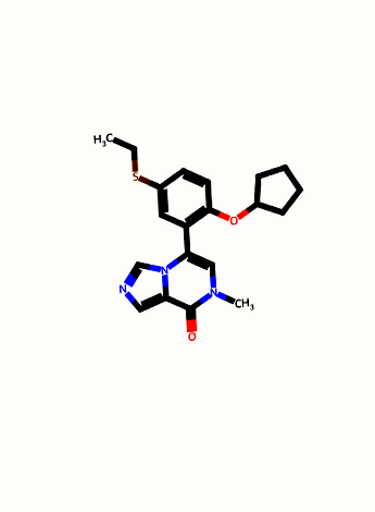 CCSc1ccc(OC2CCCC2)c(-c2cn(C)c(=O)c3cncn23)c1